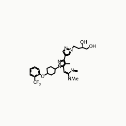 C=N/C(=C\c1c(C)c(-c2cnn(CC[C@@H](O)CO)c2)nn1C1CCC(Oc2ccccc2C(F)(F)F)CC1)NC